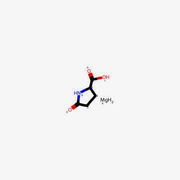 O=C1CCC(C(=O)O)N1.[MgH2]